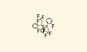 [O-][S+](C(CC(F)(F)F)c1ccccc1F)C(CC(F)(F)F)c1ccccc1F